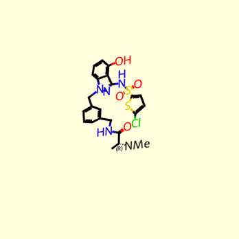 CN[C@H](C)C(=O)NCc1cccc(Cn2nc(NS(=O)(=O)c3ccc(Cl)s3)c3c(O)cccc32)c1